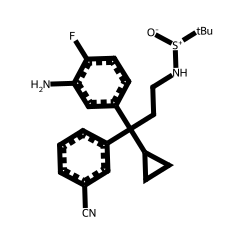 CC(C)(C)[S+]([O-])NCCC(c1cccc(C#N)c1)(c1ccc(F)c(N)c1)C1CC1